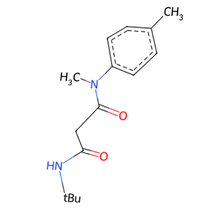 Cc1ccc(N(C)C(=O)CC(=O)NC(C)(C)C)cc1